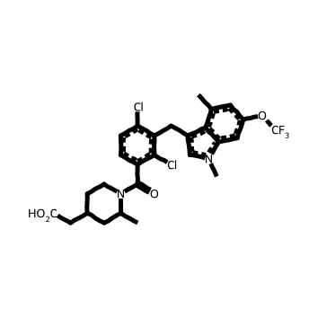 Cc1cc(OC(F)(F)F)cc2c1c(Cc1c(Cl)ccc(C(=O)N3CCC(CC(=O)O)CC3C)c1Cl)cn2C